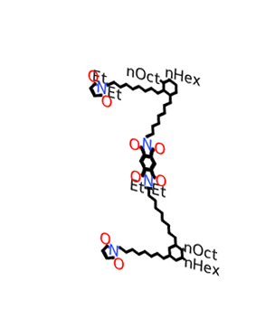 CCCCCCCCC1C(CCCCCC)CC(CCCCCCCCN2C(=O)C=CC2=O)CC1CCCCCCCCC(CC)(CC)n1c(=O)c2cc3c(=O)n(CCCCCCCCC4CCC(CCCCCC)C(CCCCCCCC)C4CCCCCCCCC(CC)(CC)N4C(=O)C=CC4=O)c(=O)c3cc2c1=O